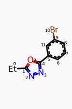 CCc1nnc(-c2cccc(Br)c2)o1